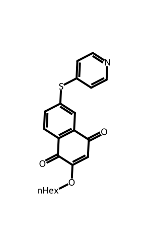 CCCCCCOC1=CC(=O)c2cc(Sc3ccncc3)ccc2C1=O